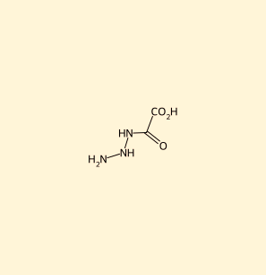 NNNC(=O)C(=O)O